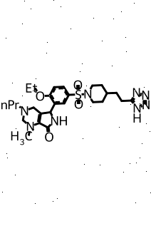 CCCN1CC2=C(C(=O)NC2c2cc(S(=O)(=O)N3CCC(CCc4nnn[nH]4)CC3)ccc2OCC)N(C)C1